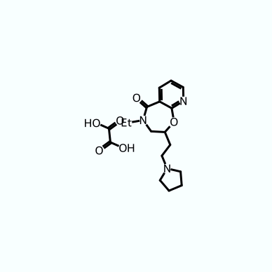 CCN1CC(CCN2CCCC2)Oc2ncccc2C1=O.O=C(O)C(=O)O